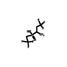 CC(CC(F)(F)F)P(=O)(O)CC(F)(F)F